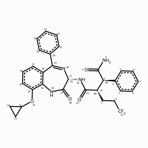 NC(=O)[C@@H](c1ccccc1)[C@@H](CCC(F)(F)F)C(=O)N[C@H]1N=C(c2ccccc2)c2cccc(OC3CC3)c2NC1=O